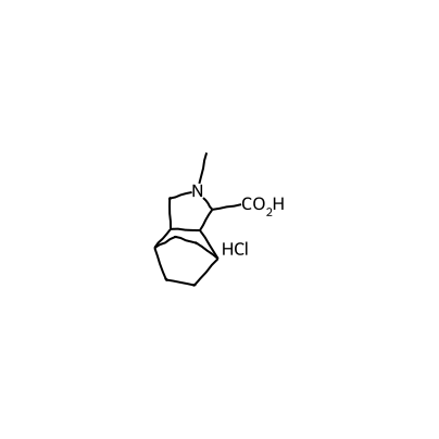 CN1CC2C3CCC(CC3)C2C1C(=O)O.Cl